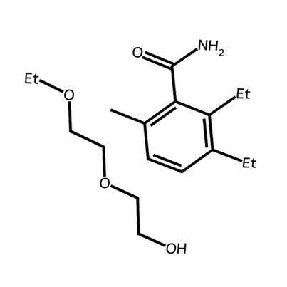 CCOCCOCCO.CCc1ccc(C)c(C(N)=O)c1CC